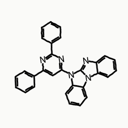 c1ccc(-c2cc(-n3c4ccccc4n4c5ccccc5nc34)nc(-c3ccccc3)n2)cc1